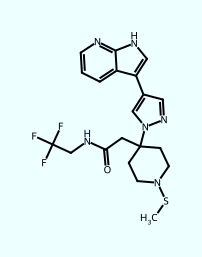 CSN1CCC(CC(=O)NCC(F)(F)F)(n2cc(-c3c[nH]c4ncccc34)cn2)CC1